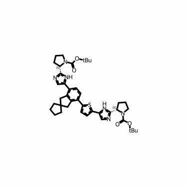 CC(C)(C)OC(=O)N1CCC[C@H]1c1ncc(-c2ccc(-c3ccc(-c4cnc([C@@H]5CCCN5C(=O)OC(C)(C)C)[nH]4)c4c3CC3(CCCC3)C4)s2)[nH]1